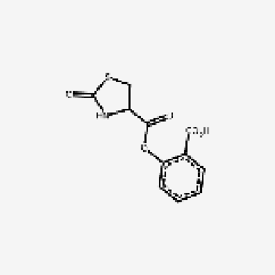 O=C1NC(C(=O)Oc2ccccc2C(=O)O)CS1